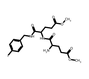 COC(=O)CCC(N)C(=O)NC(CCC(=O)OC)C(=O)NCc1ccc(I)cc1